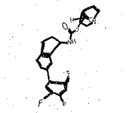 O=C(NC1CCc2ccc(-c3cc(F)c(F)cc3F)cc21)O[C@H]1CN2CCC1CC2